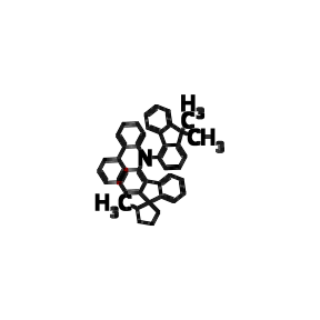 CC1CCCC12c1ccccc1-c1c(N(c3ccccc3-c3ccccc3)c3cccc4c3-c3ccccc3C4(C)C)cccc12